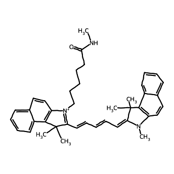 CNC(=O)CCCCC[N+]1=C(/C=C/C=C/C=C2/N(C)c3ccc4ccccc4c3C2(C)C)C(C)(C)c2c1ccc1ccccc21